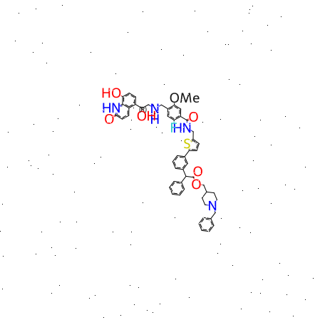 COc1cc(C(=O)NCc2ccc(-c3cccc(C(C(=O)OCC4CCN(Cc5ccccc5)CC4)c4ccccc4)c3)s2)c(F)cc1CNC[C@H](O)c1ccc(O)c2[nH]c(=O)ccc12